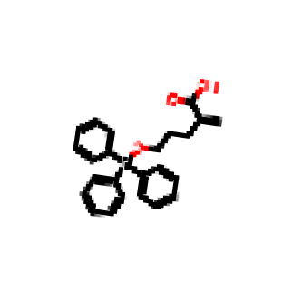 C=C(CCCO[Si](c1ccccc1)(c1ccccc1)c1ccccc1)C(=O)O